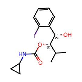 CC(C)[C@H](OC(=O)NC1CC1)[C@@H](O)c1ccccc1I